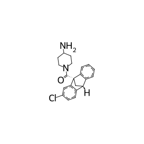 NC1CCN(C(=O)[C@@]23C[C@H](c4ccccc42)c2ccc(Cl)cc23)CC1